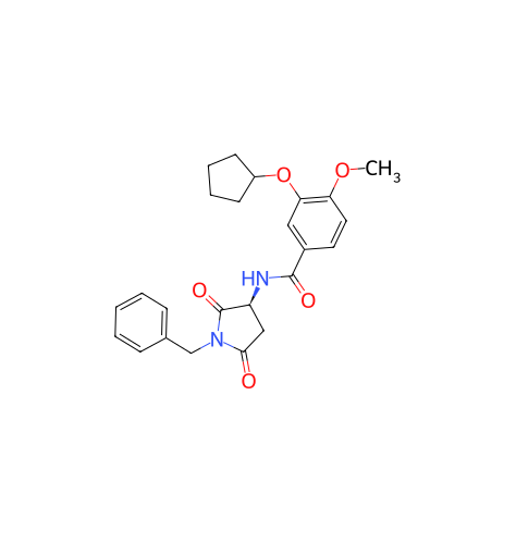 COc1ccc(C(=O)N[C@H]2CC(=O)N(Cc3ccccc3)C2=O)cc1OC1CCCC1